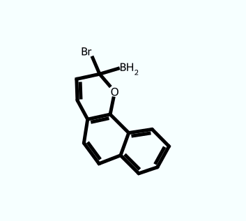 BC1(Br)C=Cc2ccc3ccccc3c2O1